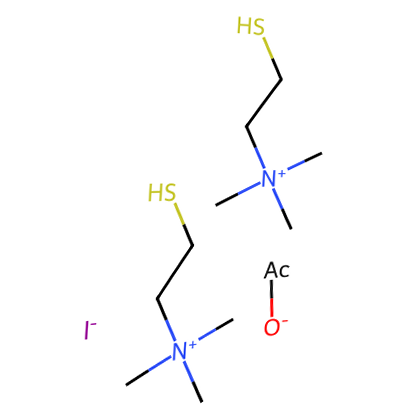 CC(=O)[O-].C[N+](C)(C)CCS.C[N+](C)(C)CCS.[I-]